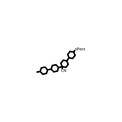 CCCCCC1CCC(C2CCC(C#N)(C3CCC(C4CCC(C)CC4)CC3)CC2)CC1